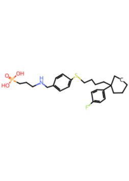 O=P(O)(O)CCCNCc1ccc(SCCCCC2(c3ccc(F)cc3)CCCCC2)cc1